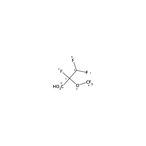 O=C(O)C(F)(OC(F)(F)F)C(F)F